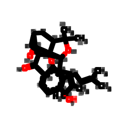 CC(C)=CCc1c(O)ccc2c1OC13C(=CC4CC1C(C)(C)OC3(CC=C(C)C)C4=O)C2=O